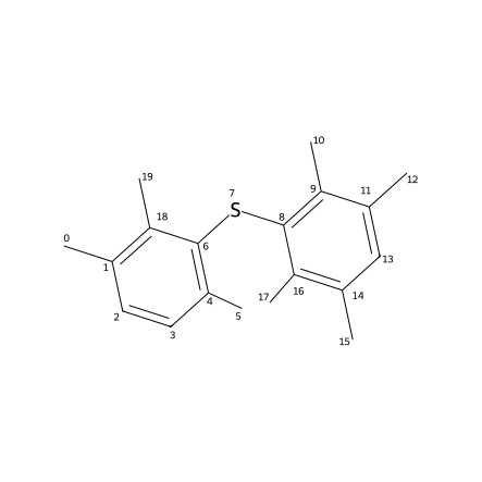 Cc1ccc(C)c(Sc2c(C)c(C)cc(C)c2C)c1C